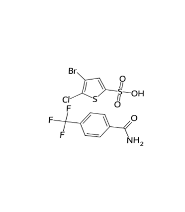 NC(=O)c1ccc(C(F)(F)F)cc1.O=S(=O)(O)c1cc(Br)c(Cl)s1